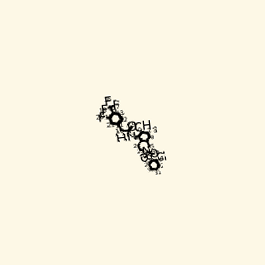 Cc1ccc2c(c1NC(=O)Cc1ccc(C(F)(F)F)c(F)c1)CCN(S(=O)(=O)c1ccccc1Cl)C2